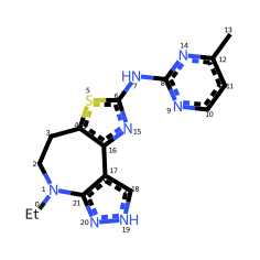 CCN1CCc2sc(Nc3nccc(C)n3)nc2-c2c[nH]nc21